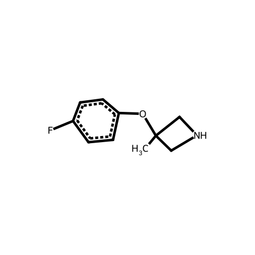 CC1(Oc2ccc(F)cc2)CNC1